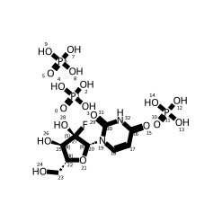 O=P(O)(O)O.O=P(O)(O)O.O=P(O)(O)O.O=c1ccn([C@@H]2O[C@H](CO)[C@@H](O)[C@]2(O)F)c(=O)[nH]1